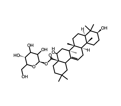 CC1(C)CC[C@]2(C(=O)O[C@H]3OC(CO)[C@H](O)C(O)C3O)C(O)C[C@]3(C)C(=CC[C@@H]4[C@@]5(C)CC[C@H](O)C(C)(C)[C@@H]5CC[C@]43C)C2C1